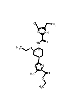 CCOC(=O)c1nc(N2CC[C@@H](NC(=O)c3nc(Cl)c(CC)[nH]3)[C@@H](OCC)C2)sc1C